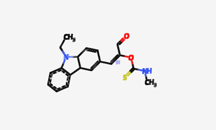 CCN1c2ccccc2C2C=C(/C=C(\C=O)OC(=S)NC)C=CC21